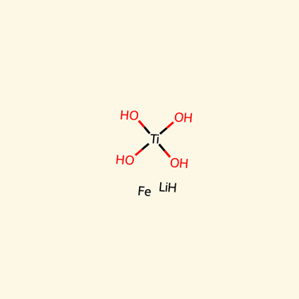 [Fe].[LiH].[OH][Ti]([OH])([OH])[OH]